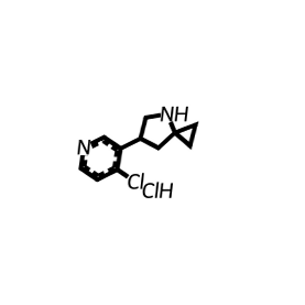 Cl.Clc1ccncc1C1CNC2(CC2)C1